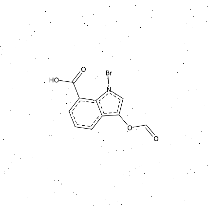 O=COc1cn(Br)c2c(C(=O)O)cccc12